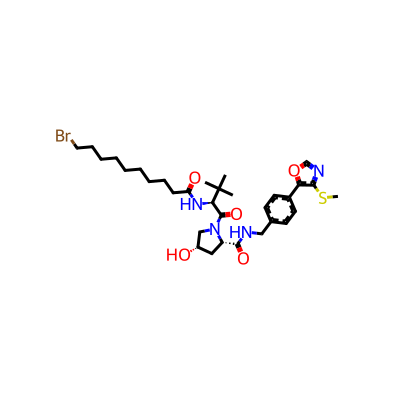 CSc1ncoc1-c1ccc(CNC(=O)[C@@H]2C[C@H](O)CN2C(=O)[C@@H](NC(=O)CCCCCCCCCBr)C(C)(C)C)cc1